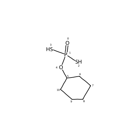 O=P(S)(S)OC1CCCCC1